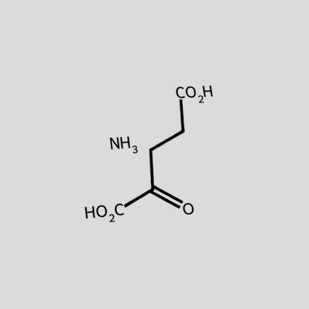 N.O=C(O)CCC(=O)C(=O)O